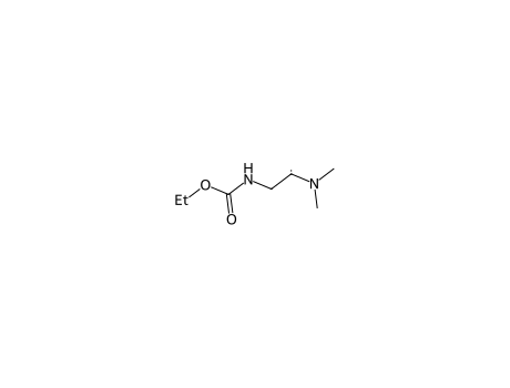 CCOC(=O)NC[CH]N(C)C